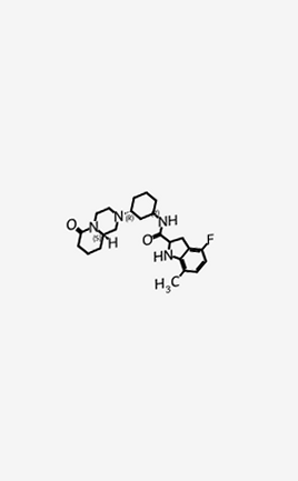 Cc1ccc(F)c2c1NC(C(=O)N[C@@H]1CCC[C@@H](N3CCN4C(=O)CCC[C@H]4C3)C1)C2